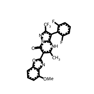 COc1cccc2oc(-c3c(C)[nH]c4c(-c5c(F)cccc5F)c(C(F)(F)F)nn4c3=O)nc12